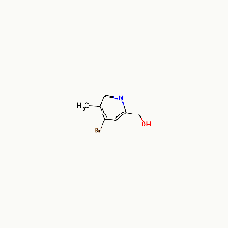 Cc1cnc(CO)cc1Br